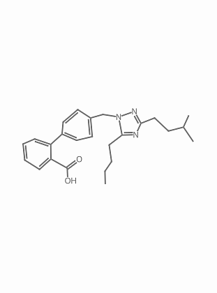 CCCCc1nc(CCC(C)C)nn1Cc1ccc(-c2ccccc2C(=O)O)cc1